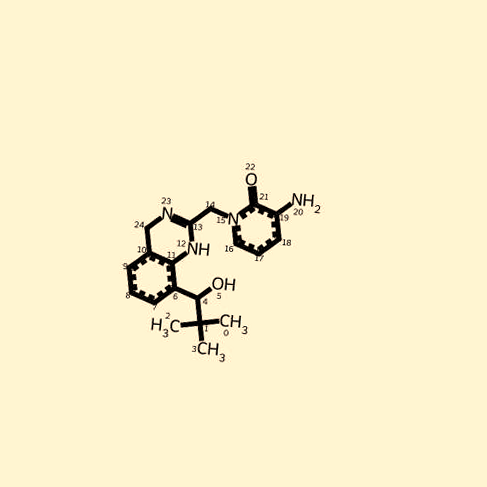 CC(C)(C)C(O)c1cccc2c1NC(Cn1cccc(N)c1=O)=NC2